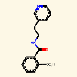 O=C(O)c1ccccc1C(=O)NCCc1cccnc1